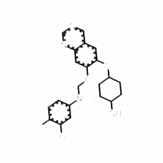 NC1CCC(Oc2cc3cncnc3cc2OCNc2ccc(F)c(Cl)c2)CC1